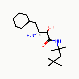 CC(C)(C)CC(C)(C)NC(=O)C(O)[C@H](N)CC1CCCCC1